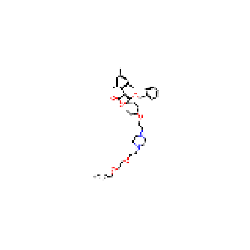 Cc1cc(C)c(C2=C(OCc3ccccc3)[C@]3(CC[C@H](OCCN4CCN(CCOCCOCC(=O)O)CC4)CC3)OC2=O)c(C)c1